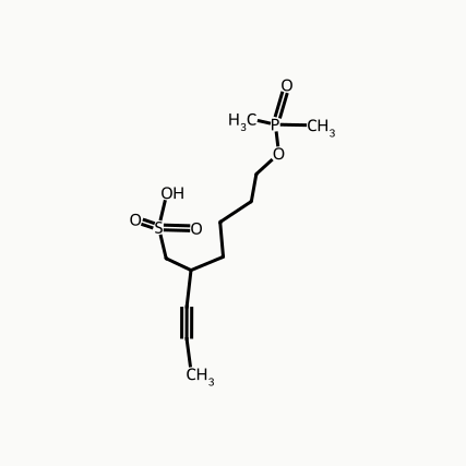 CC#CC(CCCCOP(C)(C)=O)CS(=O)(=O)O